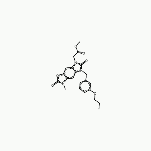 CCCOc1cccc(Cn2c(=O)n(CC(=O)OC)c3cc4oc(=O)n(C)c4cc32)c1